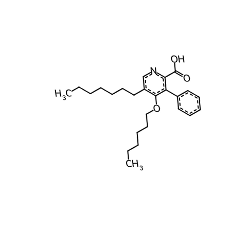 CCCCCCCc1cnc(C(=O)O)c(-c2ccccc2)c1OCCCCCC